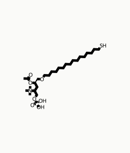 CC(=O)O[C@@H](COCCCCCCCCCCCCCCCCS)CC(COP(=O)(O)O)[N+](C)(C)C